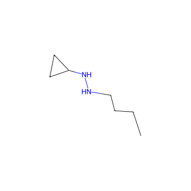 CCCCNNC1CC1